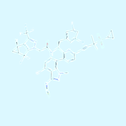 Cn1nc(N=C=S)c2c(Cl)ccc(-c3ccc(C#CC(C)(C)S(=O)(=O)C4CC4)nc3[C@H](Cc3cc(F)cc(F)c3)NC(=O)Cn3nc(C(F)(F)F)c4c3C(F)(F)C3C[C@H]43)c21